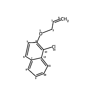 C=CCOc1ccc2ccccc2c1Cl